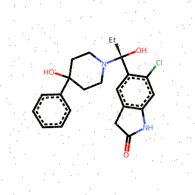 CC[C@@](O)(c1cc2c(cc1Cl)NC(=O)C2)N1CCC(O)(c2ccccc2)CC1